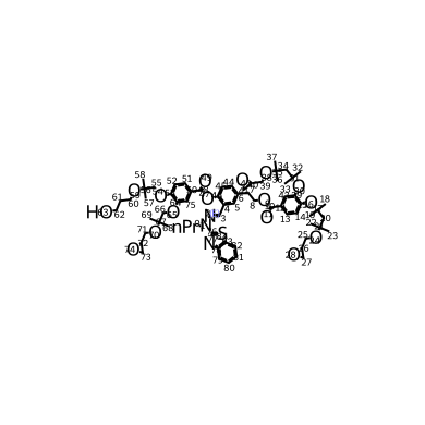 CCCN(/N=C/c1cc(CCOC(=O)c2ccc(OC(C)(C)CC(C)(C)OCC3CO3)c(OC(C)(C)CC(C)(C)OCC3CO3)c2)ccc1OC(=O)c1ccc(OCC(C)(C)OCCCO)c(OCC(C)(C)OCC2CO2)c1)c1nc2ccccc2s1